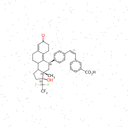 C[C@]12C[C@H](c3ccc(/C=C\c4cccc(C(=O)O)c4)cc3)C3=C4CCC(=O)C=C4CCC3C1CC[C@@]2(O)C(F)(F)C(F)(F)F